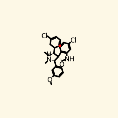 CC[C@@H](C1C=CC=C(Cl)C1)[C@@]1([C@@H](NC)c2cccc(OC)c2)C(=O)Nc2cc(Cl)ccc21